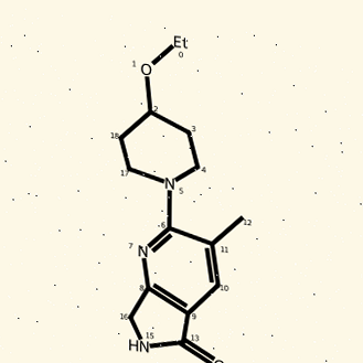 CCOC1CCN(c2nc3c(cc2C)C(=O)NC3)CC1